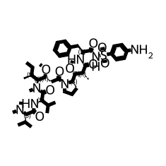 CC[C@H](C)[C@@H]([C@@H](CC(=O)N1CCC[C@H]1[C@H](OC)[C@@H](C)C(=O)N[C@@H](Cc1ccccc1)C(=O)NS(=O)(=O)c1ccc(N)cc1)OC)N(C)C(=O)[C@@H](NC(=O)[C@H](C(C)C)N(C)C)C(C)C